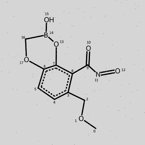 COCc1ccc2c(c1C(=O)N=O)OB(O)CO2